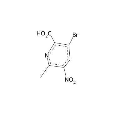 Cc1nc(C(=O)O)c(Br)cc1[N+](=O)[O-]